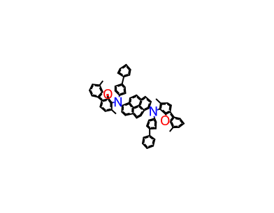 Cc1ccc2c(oc3c(C)cccc32)c1N(c1ccc(-c2ccccc2)cc1)c1ccc2ccc3c(N(c4ccc(-c5ccccc5)cc4)c4c(C)ccc5c4oc4c(C)cccc45)ccc4ccc1c2c43